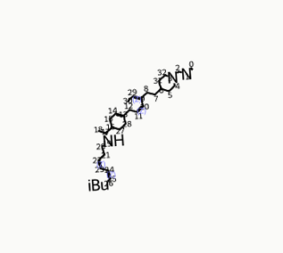 C=NCN1CCC(CCC(/C=C\CC2=CCC(C(C)NCC/C=C\C=C/C(C)CC)CC2)=C/C)CC1